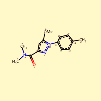 COc1cc(C(=O)N(C)C)nn1-c1ccc(C)cc1